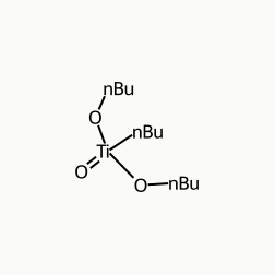 CCCC[O][Ti](=[O])([CH2]CCC)[O]CCCC